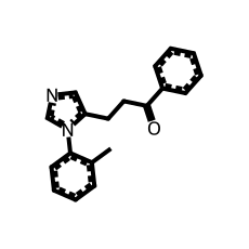 Cc1ccccc1-n1cncc1CCC(=O)c1ccccc1